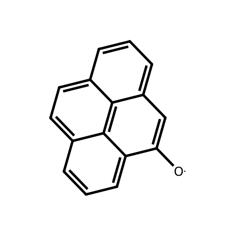 [O]c1cc2cccc3ccc4cccc1c4c32